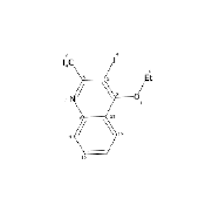 CCOc1c(I)c(C)nc2ccccc12